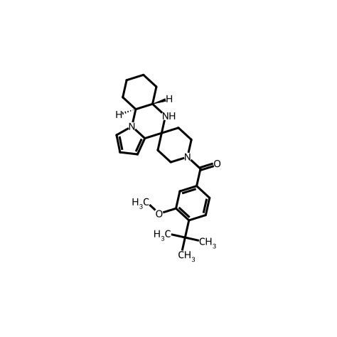 COc1cc(C(=O)N2CCC3(CC2)N[C@H]2CCCC[C@@H]2n2cccc23)ccc1C(C)(C)C